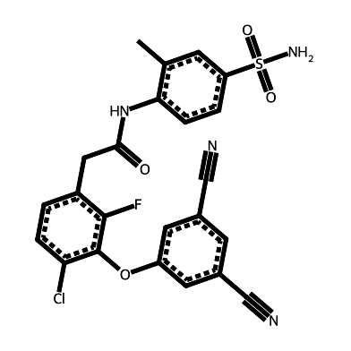 Cc1cc(S(N)(=O)=O)ccc1NC(=O)Cc1ccc(Cl)c(Oc2cc(C#N)cc(C#N)c2)c1F